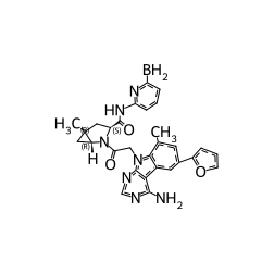 Bc1cccc(NC(=O)[C@@H]2C[C@@]3(C)C[C@H]3N2C(=O)Cn2c3ncnc(N)c3c3cc(-c4ccco4)cc(C)c32)n1